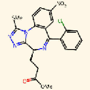 COC(=O)CC[C@@H]1N=C(c2ccccc2Cl)c2cc([N+](=O)[O-])ccc2-n2c(SC)nnc21